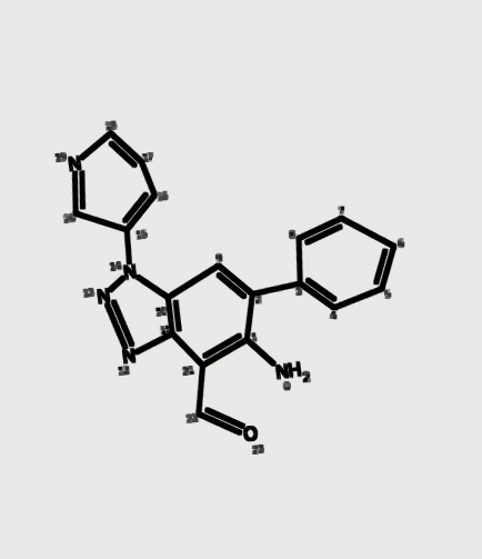 Nc1c(-c2ccccc2)cc2c(nnn2-c2cccnc2)c1C=O